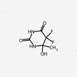 CC1(O)NC(=O)NC(=O)C1(F)F